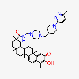 CC1=C(O)C(=O)C=C2C1=CC=C1C2(C)CCC2C3CC(C)(C(=O)NCN4CCN(CC5CCN(c6ccc(C)nn6)CC5)CC4)CCC3(C)CCC12C